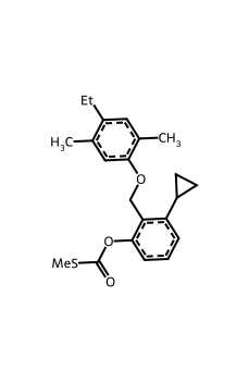 CCc1cc(C)c(OCc2c(OC(=O)SC)cccc2C2CC2)cc1C